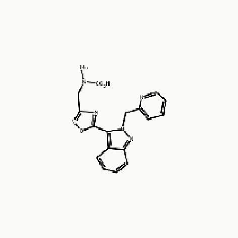 CC(C)(C)N(Cc1noc(-c2c3ccccc3nn2Cc2ccccn2)n1)C(=O)O